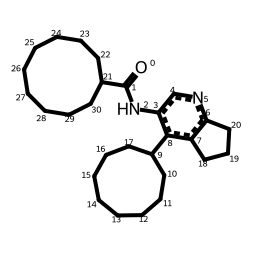 O=C(Nc1cnc2c(c1C1CCCCCCCC1)CCC2)C1CCCCCCCCC1